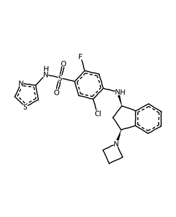 O=S(=O)(Nc1cscn1)c1cc(Cl)c(N[C@@H]2C[C@H](N3CCC3)c3ccccc32)cc1F